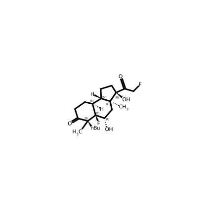 CCCC[C@@]1(C)C(=O)CC[C@H]2[C@@H]3CC[C@](O)(C(=O)CF)[C@@]3(C)C[C@H](O)[C@@]21F